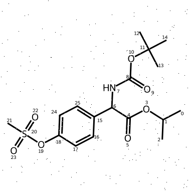 CC(C)OC(=O)C(NC(=O)OC(C)(C)C)c1ccc(OS(C)(=O)=O)cc1